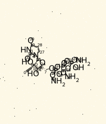 C#C[C@@]1(O)[C@H](O)[C@@H](COP(=O)(ON)OP(=O)(ON)OP(=O)(O)ON)O[C@H]1n1ccc(=O)[nH]c1=O